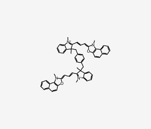 CN1/C(=C/C=C/C2=[N+](C)c3ccccc3C2(C)Cc2ccc(CC3(C)C(/C=C/C=C4\Oc5ccc6ccccc6c5N4C)=[N+](C)c4ccccc43)cc2)Oc2ccc3ccccc3c21